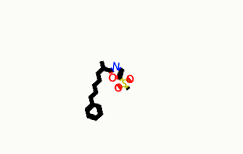 CC(CCCCCc1ccccc1)c1ncc(S(C)(=O)=O)o1